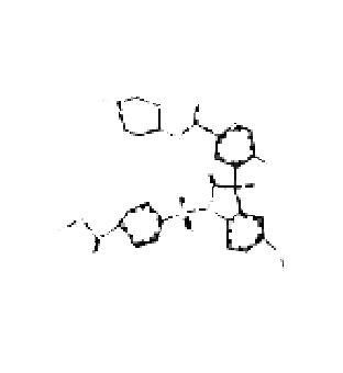 CCOc1ccc2c(c1)C(C)(c1cc(C(=O)N[C@H]3CC[C@H](O)CC3)ccc1Cl)C(=O)N2S(=O)(=O)c1ccc(C(=O)NC(C)(C)C)cc1